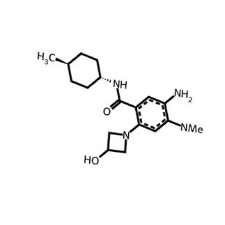 CNc1cc(N2CC(O)C2)c(C(=O)N[C@H]2CC[C@H](C)CC2)cc1N